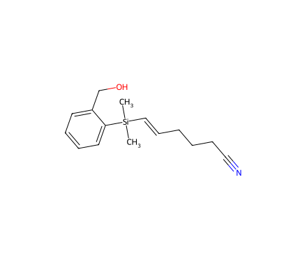 C[Si](C)(/C=C/CCCC#N)c1ccccc1CO